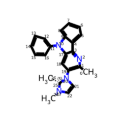 Cc1nc2c3ccccc3n(-c3ccccc3)c2cc1N1C=CN(C)[C@@H]1C